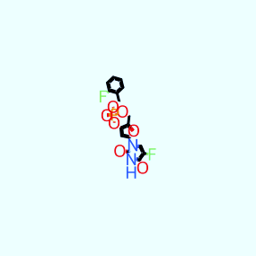 O=c1[nH]c(=O)n(-c2cc3c(o2)COP(=O)(OCc2ccccc2F)O3)cc1F